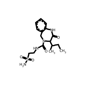 CCC(C)C1C(=O)Nc2ccccc2CN1C(=O)NCCS(N)(=O)=O